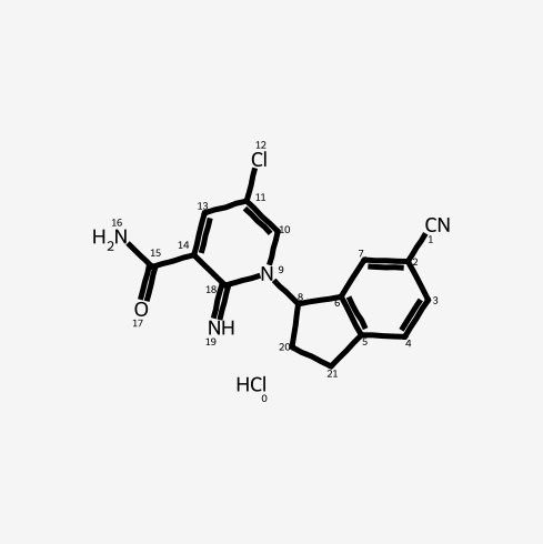 Cl.N#Cc1ccc2c(c1)C(n1cc(Cl)cc(C(N)=O)c1=N)CC2